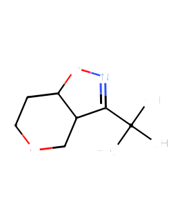 CC(C)(C)C1=NOC2CCOCC12